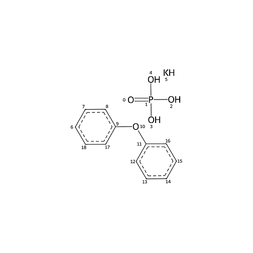 O=P(O)(O)O.[KH].c1ccc(Oc2ccccc2)cc1